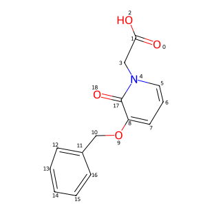 O=C(O)Cn1cccc(OCc2ccccc2)c1=O